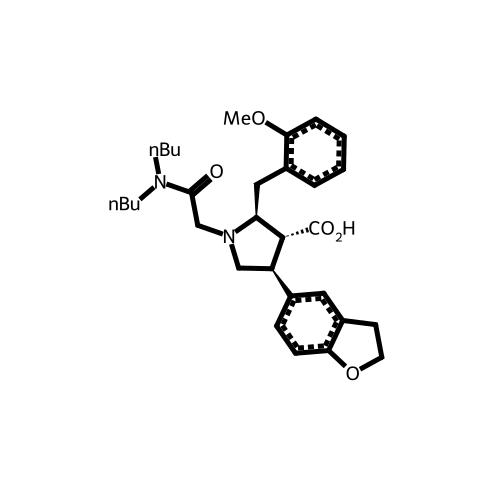 CCCCN(CCCC)C(=O)CN1C[C@H](c2ccc3c(c2)CCO3)[C@@H](C(=O)O)[C@@H]1Cc1ccccc1OC